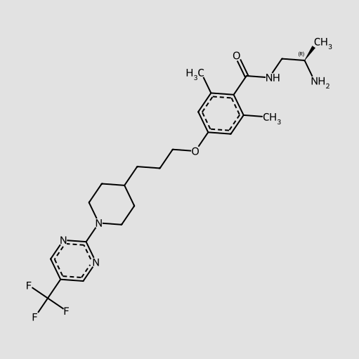 Cc1cc(OCCCC2CCN(c3ncc(C(F)(F)F)cn3)CC2)cc(C)c1C(=O)NC[C@@H](C)N